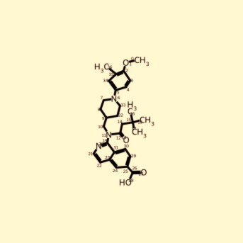 COc1ccc(N2CCC(CN(C(=O)CC(C)(C)C)c3nccc4cc(C(=O)O)ccc34)CC2)cc1C